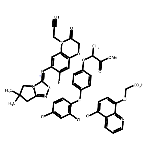 C#CCN1C(=O)COc2cc(F)c(/N=c3\snc4n3CC(C)(C)C4)cc21.COC(=O)C(C)Oc1ccc(Oc2ccc(Cl)cc2Cl)cc1.O=C(O)COc1ccc(Cl)c2cccnc12